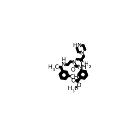 C=C(CN1CCNCC1)CN(CCNC(C)c1cccc(C)c1)C(=O)Nc1cccc(C(=O)OC)c1